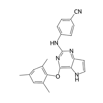 Cc1cc(C)c(Oc2nc(Nc3ccc(C#N)cc3)nc3cc[nH]c23)c(C)c1